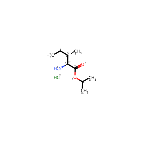 CC[C@H](C)[C@H](N)C(=O)OC(C)C.Cl